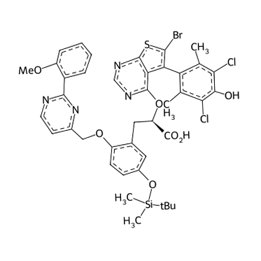 COc1ccccc1-c1nccc(COc2ccc(O[Si](C)(C)C(C)(C)C)cc2C[C@@H](Oc2ncnc3sc(Br)c(-c4c(C)c(Cl)c(O)c(Cl)c4C)c23)C(=O)O)n1